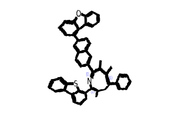 C/C1=C(c2cccc3c2sc2ccccc23)/N=C(/c2ccc3cc(-c4cccc5oc6ccccc6c45)ccc3c2)C(C)/C(C)=C(/c2ccccc2)C1